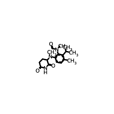 Cc1ccc(N(C)C2CCC(=O)NC2=O)c(N(C)C=O)c1C(C)C